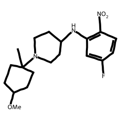 COC1CCC(C)(N2CCC(Nc3cc(F)ccc3[N+](=O)[O-])CC2)CC1